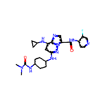 CN(C)C(=O)NC1CCC(Nc2cc(NC3CC3)c3ncc(C(=O)Nc4ccncc4F)n3n2)CC1